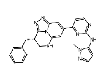 Cn1nccc1Nc1nccc(-c2cc3n4c(nnc4c2)[C@@H](Cc2ccccc2)CN3)n1